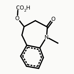 CN1C(=O)CC(OC(=O)O)Cc2ccccc21